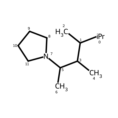 CC(C)C(C)C(C)C(C)N1CCCC1